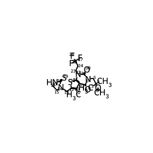 COC(C)(C)Cn1c(=O)c2c(C)c(CN3CCNC3=S)sc2n(CCC(F)(F)F)c1=O